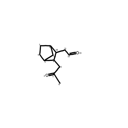 CC(=O)CC1C2CCC(C2)C1CC=O